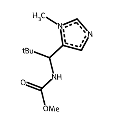 COC(=O)NC(c1cncn1C)C(C)(C)C